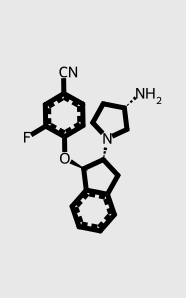 N#Cc1ccc(O[C@@H]2c3ccccc3C[C@H]2N2CC[C@H](N)C2)c(F)c1